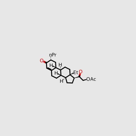 CCC[C@@H]1C[C@H]2C(=CC1=O)CC[C@@H]1[C@@H]2CC[C@]2(CC)[C@@H](C(=O)COC(C)=O)CC[C@@H]12